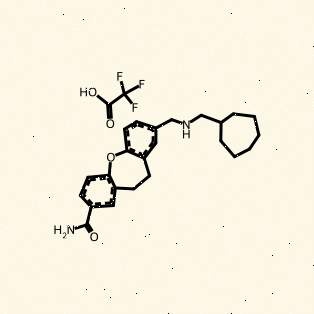 NC(=O)c1ccc2c(c1)CCc1cc(CNCC3CCCCCC3)ccc1O2.O=C(O)C(F)(F)F